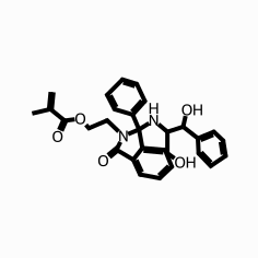 C=C(C)C(=O)OCCN1C(=O)c2ccccc2C1(NC(CO)C(O)c1ccccc1)c1ccccc1